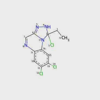 CCC1(Cl)NN=C2C=Nc3cc(Cl)c(Cl)cc3N21